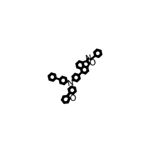 c1ccc(-c2ccc(N(c3ccc(-c4ccc5c6c(cccc46)-c4nc(-c6ccccc6)oc4-5)cc3)c3ccc4oc5ccccc5c4c3)cc2)cc1